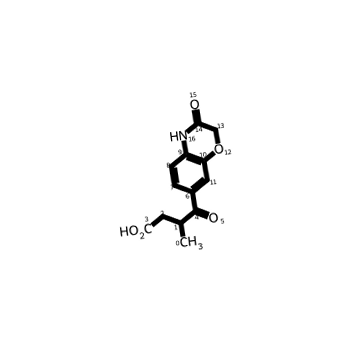 CC(CC(=O)O)C(=O)c1ccc2c(c1)OCC(=O)N2